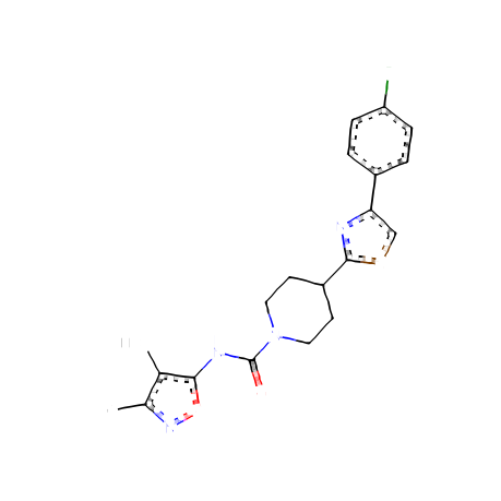 Cc1noc(NC(=O)N2CCC(c3nc(-c4ccc(F)cc4)cs3)CC2)c1C